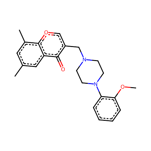 COc1ccccc1N1CCN(Cc2coc3c(C)cc(C)cc3c2=O)CC1